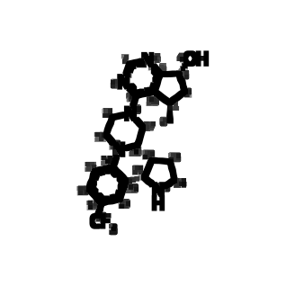 C[C@@H]1C[C@@H](O)c2ncnc(N3CCN(c4ccc(C(F)(F)F)cc4[C@@H]4CCCN4)CC3)c21